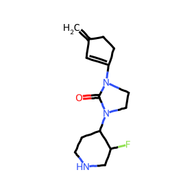 C=C1C=C(N2CCN(C3CCNCC3F)C2=O)CC1